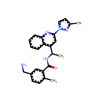 Cc1ccc(CN)cc1C(=O)NC(C)c1cc(-n2ccc(C#N)n2)nc2ccccc12